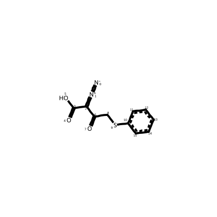 [N-]=[N+]=C(C(=O)O)C(=O)CSc1ccccc1